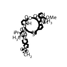 C=CS(=O)(=O)N1CCC2(CCN(C(=O)N(C)[C@H](C(=O)N[C@H]3Cc4nc(cs4)-c4ccc5c(c4)c(c(-c4cccnc4[C@H](C)OC)n5CC)CC(C)(C)COC(=O)[C@@H]4CCCN(N4)C3=O)C(C)C)CC2)C1